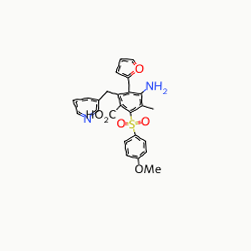 COc1ccc(S(=O)(=O)c2c(C)c(N)c(-c3ccco3)c(Cc3cccnc3)c2C(=O)O)cc1